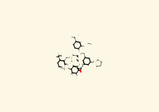 CCOc1cc(C(=O)O)ccc1N(Cc1cc(C2CC2)cc(N2CCCC2)c1)C(=O)CN(Cc1cnccc1C(F)(F)F)S(=O)(=O)c1c(F)c(F)c(F)c(F)c1Br